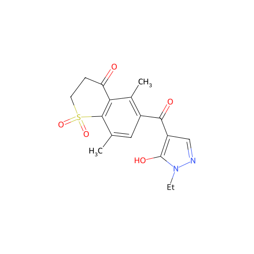 CCn1ncc(C(=O)c2cc(C)c3c(c2C)C(=O)CCS3(=O)=O)c1O